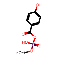 CCCCCCCCOP(=O)(O)OC(=O)c1ccc(O)cc1